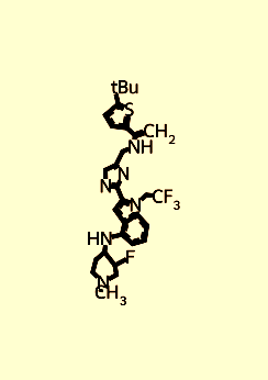 C=C(NCC1=NC(c2cc3c(NC4CCN(C)CC4F)cccc3n2CC(F)(F)F)=NC1)c1ccc(C(C)(C)C)s1